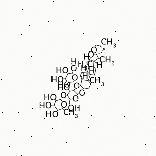 CC1O[C@@H](O[C@@H]2C(CO)O[C@@H](OC3CC[C@@]4(C)C(=CC[C@H]5[C@@H]6C[C@@H]7O[C@]8(CC[C@@H](C)CO8)[C@@H](C)[C@@H]7[C@@]6(C)CC[C@@H]54)C3)C(O[C@@H]3OC(O)[C@H](O)[C@H](O)C3O)[C@H]2O)C(O)[C@@H](O)[C@H]1O